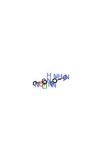 Nc1cc2c(Nc3ccc(OCc4ccccn4)c(Cl)c3)ncnc2cc1C#CC12CCN(CC1)CC2